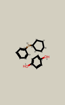 Oc1ccc(O)cc1.c1ccc(SC2CCCCC2)cc1